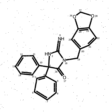 N=C1NC(c2ccccc2)(c2ccccc2)C(=O)N1Cc1ccc2c(c1)OCO2